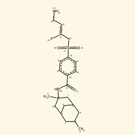 CC1CC2CC(C1)CC(C)(NC(=O)c1ccc(S(=O)(=O)C/C(F)=C/CN)cc1)C2